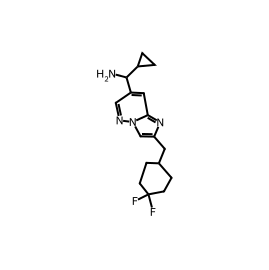 NC(c1cnn2cc(CC3CCC(F)(F)CC3)nc2c1)C1CC1